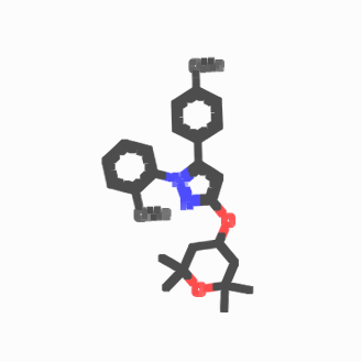 COc1ccc(-c2cc(OC3CC(C)(C)OC(C)(C)C3)nn2-c2ccccc2OC)cc1